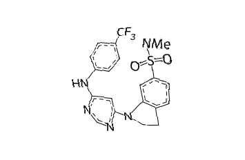 CNS(=O)(=O)c1ccc2c(c1)N(c1cc(Nc3ccc(C(F)(F)F)cc3)ncn1)CC2